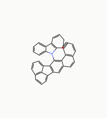 c1ccc2ccc3cc4c(c(-n5c6c(c7ccccc75)C=CCC6)c3c2c#1)-c1cccc2cccc-4c12